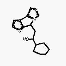 OC(CC1c2sccc2-c2cncn21)C1CCCCC1